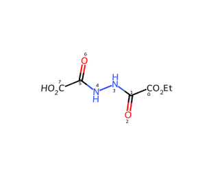 CCOC(=O)C(=O)NNC(=O)C(=O)O